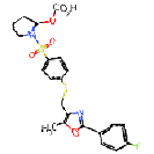 Cc1oc(-c2ccc(F)cc2)nc1CSc1ccc(S(=O)(=O)N2CCC[C@H]2OC(=O)O)cc1